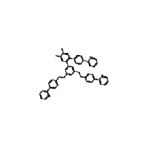 Cc1cc(-c2ccc(-c3ccccn3)cc2)c(-c2cc(CCc3ccc(-c4ccccn4)cc3)cc(CCc3ccc(-c4ccccn4)cc3)c2)cc1C